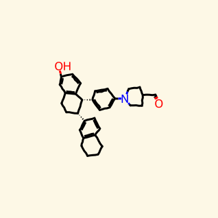 O=CC1CCN(c2ccc([C@H]3c4ccc(O)cc4CC[C@H]3c3ccc4c(c3)CCCC4)cc2)CC1